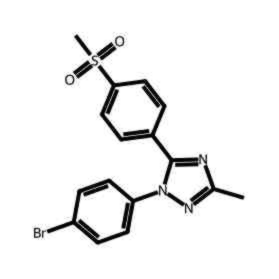 Cc1nc(-c2ccc(S(C)(=O)=O)cc2)n(-c2ccc(Br)cc2)n1